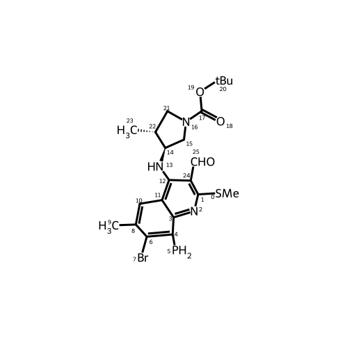 CSc1nc2c(P)c(Br)c(C)cc2c(N[C@@H]2CN(C(=O)OC(C)(C)C)C[C@H]2C)c1C=O